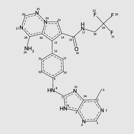 Cc1ncnc2[nH]c(Nc3ccc(-c4c(C(=O)NCC(F)(F)F)cn5ncnc(N)c45)cc3)nc12